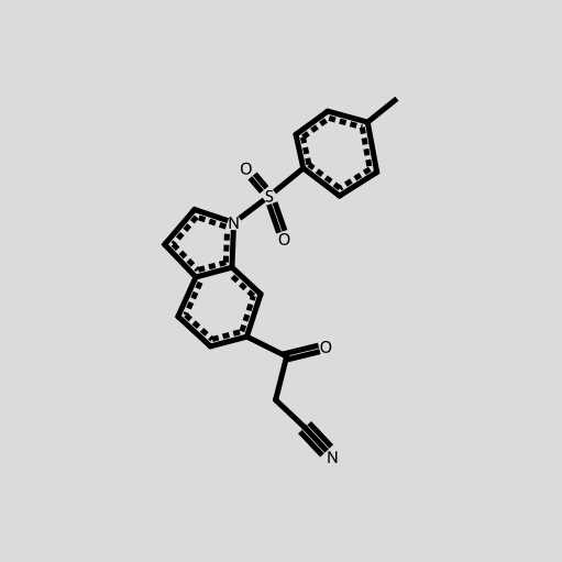 Cc1ccc(S(=O)(=O)n2ccc3ccc(C(=O)CC#N)cc32)cc1